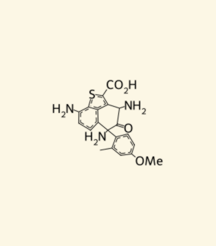 COc1ccc(C2(N)C(=O)C(N)c3c(C(=O)O)sc4c(N)ccc2c34)c(C)c1